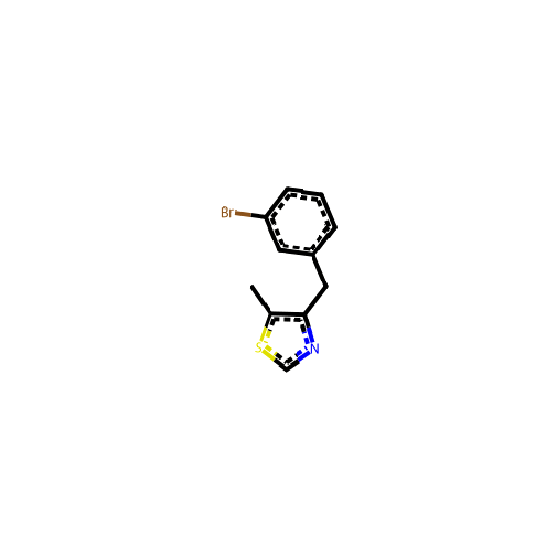 Cc1scnc1Cc1cccc(Br)c1